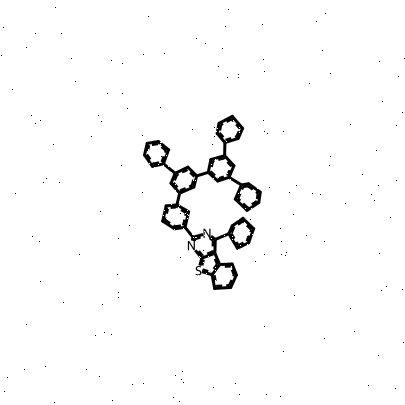 c1ccc(-c2cc(-c3ccccc3)cc(-c3cc(-c4ccccc4)cc(-c4cccc(-c5nc(-c6ccccc6)c6c(n5)sc5ccccc56)c4)c3)c2)cc1